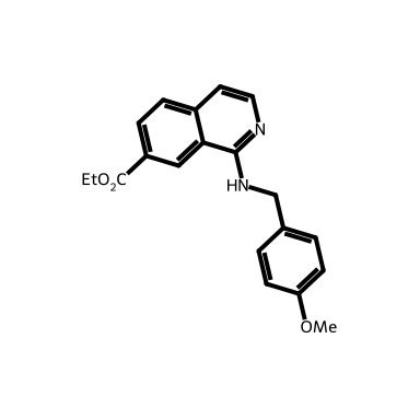 CCOC(=O)c1ccc2ccnc(NCc3ccc(OC)cc3)c2c1